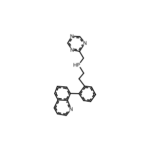 c1ccc(-c2cccc3cccnc23)c(CCPCc2ncncn2)c1